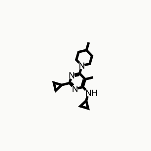 Cc1c(NC2CC2)nc(C2CC2)nc1N1CCC(C)CC1